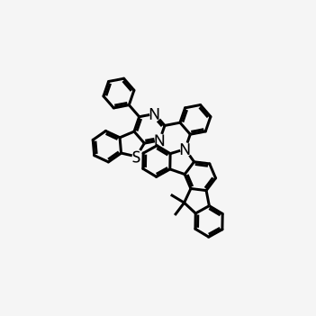 CC1(C)c2ccccc2-c2ccc3c(c21)c1ccccc1n3-c1ccccc1-c1nc(-c2ccccc2)c2c(n1)sc1ccccc12